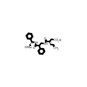 C=CC[C@H](CC(=O)O)C(=O)NCC(C(=O)N[C@H](COC)c1ccccc1)c1ccccc1